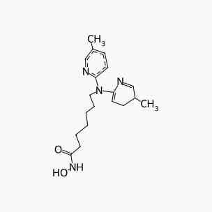 Cc1ccc(N(CCCCCCC(=O)NO)C2=CCC(C)C=N2)nc1